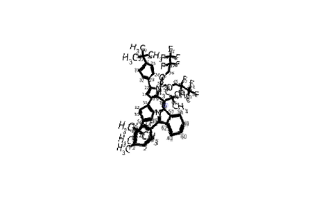 Cc1ccc(C2=N/C(=C(\c3c(-c4ccc(C(C)(C)C)cc4)cc(-c4ccc(C(C)(C)C)cc4)n3B(OCC(F)(F)C(F)(F)F)OCC(F)(F)C(F)(F)F)C(C)(C)C)c3ccccc32)cc1